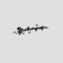 CN1C(=O)C[C@H](C(=O)NCCOCC(=O)NCCOCCC(=O)NCCOCC(=O)OC(C)(C)C)[C@H]1c1cccnc1